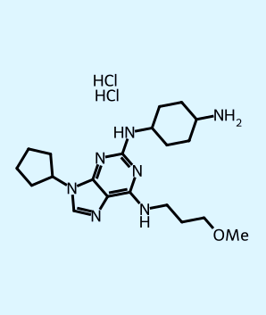 COCCCNc1nc(NC2CCC(N)CC2)nc2c1ncn2C1CCCC1.Cl.Cl